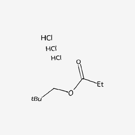 CCC(=O)OCC(C)(C)C.Cl.Cl.Cl